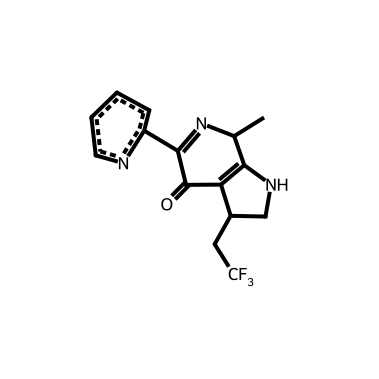 CC1N=C(c2ccccn2)C(=O)C2=C1NCC2CC(F)(F)F